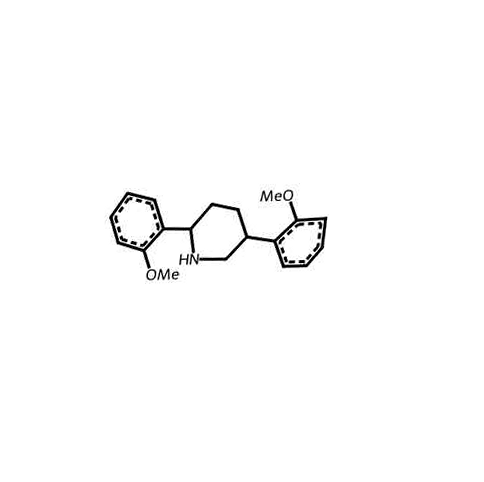 COc1ccccc1C1CCC(c2ccccc2OC)NC1